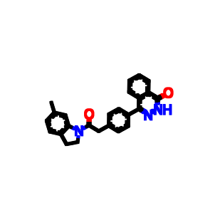 Cc1ccc2c(c1)N(C(=O)Cc1ccc(-c3n[nH]c(=O)c4ccccc34)cc1)CC2